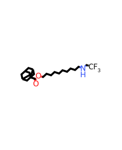 O=C(OCCCCCCCCCCNCC(F)(F)F)C12CC3CC(CC(C3)C1)C2